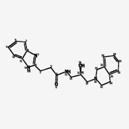 O=C(CCc1nc2ccccc2[nH]1)NC[C@@H](O)CN1CCc2ccccc2C1